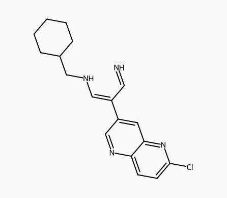 N=C/C(=C\NCC1CCCCC1)c1cnc2ccc(Cl)nc2c1